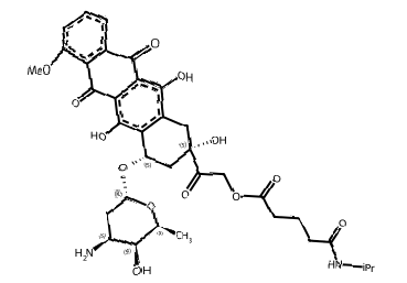 COc1cccc2c1C(=O)c1c(O)c3c(c(O)c1C2=O)C[C@@](O)(C(=O)COC(=O)CCCC(=O)NC(C)C)C[C@@H]3O[C@H]1C[C@H](N)[C@H](O)[C@H](C)O1